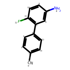 N#Cc1ccc(-c2cc(N)ccc2F)cc1